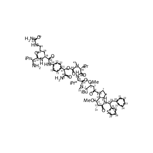 CC[C@H](C)[C@@H]([C@@H](CC(=O)N1CCC[C@H]1[C@H](OC)[C@@H](C)C(=O)NC(Cc1ccccc1)c1nccs1)OC)N(C)C(=O)[C@@H](NC(=O)[C@H](C(C)C)N(C)C(=O)OC(C(N)=O)c1ccc(NC(=O)[C@H](CCCNC(N)=O)NC(=O)[C@@H](N)C(C)C)cc1)C(C)C